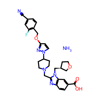 N.N#Cc1ccc(COc2ccn(C3CCN(Cc4nc5ccc(C(=O)O)cc5n4C[C@H]4CCOC4)CC3)n2)c(F)c1